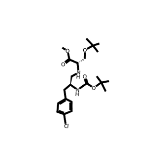 COC(=O)[C@H](COC(C)(C)C)NC[C@H](Cc1ccc(Cl)cc1)NC(=O)OC(C)(C)C